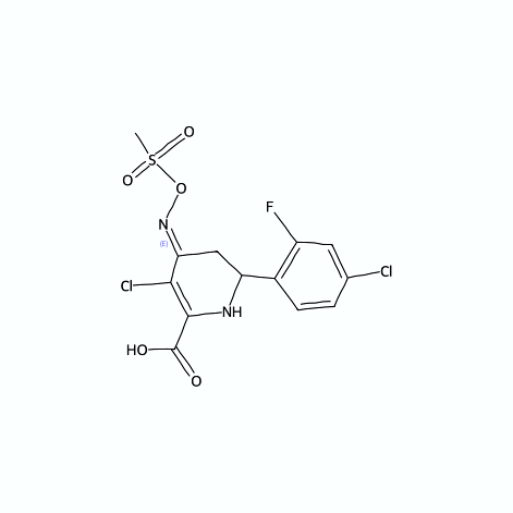 CS(=O)(=O)O/N=C1\CC(c2ccc(Cl)cc2F)NC(C(=O)O)=C1Cl